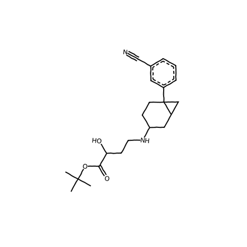 CC(C)(C)OC(=O)C(O)CCNC1CCC2(c3cccc(C#N)c3)CC2C1